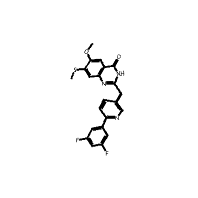 COc1cc2c(=O)[nH]c(Cc3ccc(-c4cc(F)cc(F)c4)nc3)nc2cc1SC